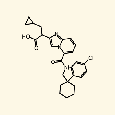 O=C(NCC1(c2ccc(Cl)cc2)CCCCC1)c1cccc2nc(C(CC3CC3)C(=O)O)cn12